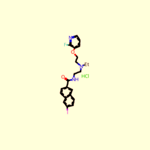 CCN(CCNC(=O)c1ccc2cc(I)ccc2c1)CCOc1cccnc1F.Cl